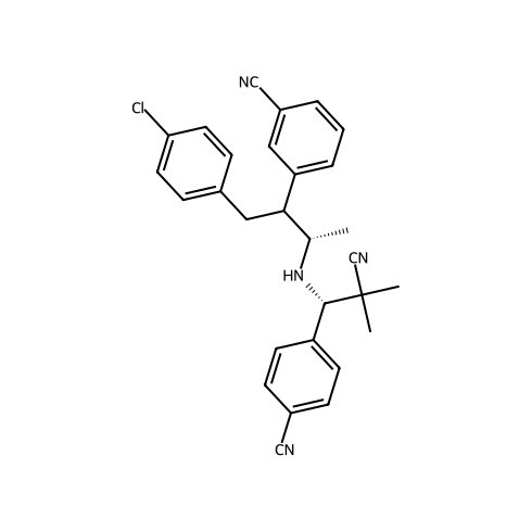 C[C@H](N[C@@H](c1ccc(C#N)cc1)C(C)(C)C#N)C(Cc1ccc(Cl)cc1)c1cccc(C#N)c1